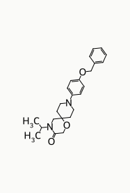 CC(C)N1CC2(CCN(c3ccc(OCc4ccccc4)cc3)CC2)OCC1=O